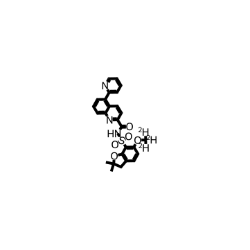 [2H]C([2H])([2H])Oc1ccc2c(c1S(=O)(=O)NC(=O)c1ccc3c(-c4ccccn4)cccc3n1)OC(C)(C)C2